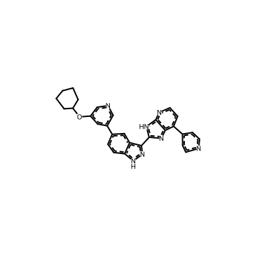 c1cc(-c2ccnc3[nH]c(-c4n[nH]c5ccc(-c6cncc(OC7CCCCC7)c6)cc45)nc23)ccn1